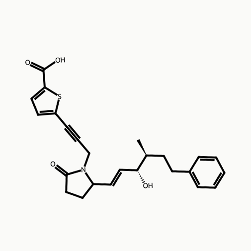 C[C@@H](CCc1ccccc1)[C@H](O)C=CC1CCC(=O)N1CC#Cc1ccc(C(=O)O)s1